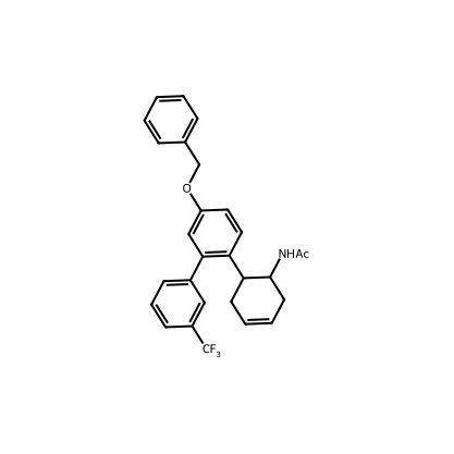 CC(=O)NC1CC=CCC1c1ccc(OCc2ccccc2)cc1-c1cccc(C(F)(F)F)c1